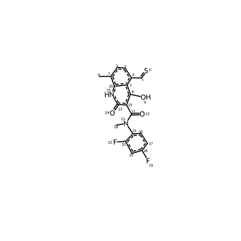 Cc1ccc(C=S)c2c(O)c(C(=O)N(C)c3ccc(F)cc3F)c(=O)[nH]c12